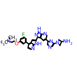 CN(C)CCOc1cc(F)cc(-c2ccnc3[nH]c(-c4n[nH]c5ncc(-c6cncc(N7CC(N)C7)n6)cc45)cc23)c1